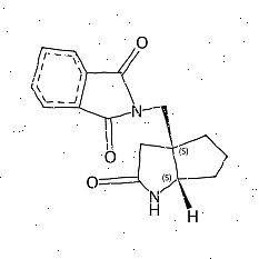 O=C1C[C@]2(CN3C(=O)c4ccccc4C3=O)CCC[C@@H]2N1